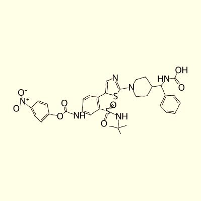 CC(C)(C)NS(=O)(=O)c1cc(NC(=O)Oc2ccc([N+](=O)[O-])cc2)ccc1-c1cnc(N2CCC(C(NC(=O)O)c3ccccc3)CC2)s1